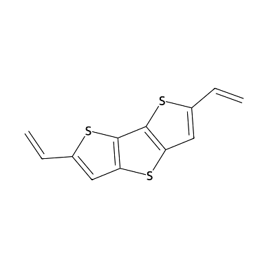 C=Cc1cc2sc3cc(C=C)sc3c2s1